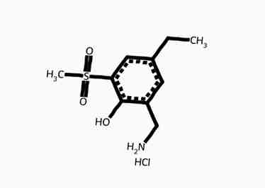 CCc1cc(CN)c(O)c(S(C)(=O)=O)c1.Cl